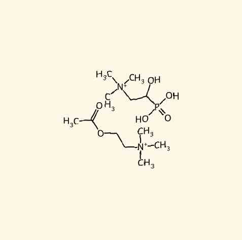 CC(=O)OCC[N+](C)(C)C.C[N+](C)(C)CC(O)P(=O)(O)O